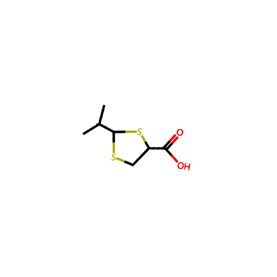 C[C](C)C1SCC(C(=O)O)S1